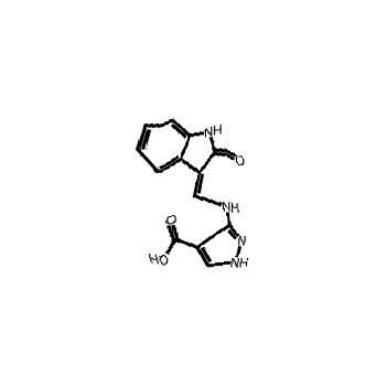 O=C1Nc2ccccc2/C1=C/Nc1n[nH]cc1C(=O)O